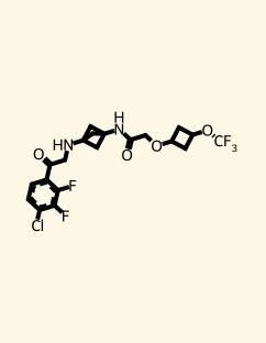 O=C(COC1CC(OC(F)(F)F)C1)NC12CC(NCC(=O)c3ccc(Cl)c(F)c3F)(C1)C2